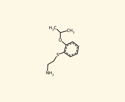 CC(C)Oc1ccccc1SCCN